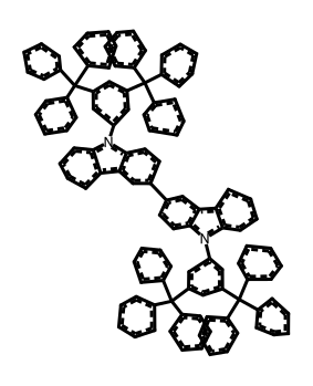 c1ccc(C(c2ccccc2)(c2ccccc2)c2cc(-n3c4ccccc4c4cc(-c5ccc6c(c5)c5ccccc5n6-c5cc(C(c6ccccc6)(c6ccccc6)c6ccccc6)cc(C(c6ccccc6)(c6ccccc6)c6ccccc6)c5)ccc43)cc(C(c3ccccc3)(c3ccccc3)c3ccccc3)c2)cc1